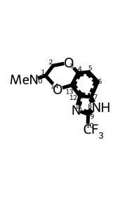 CNC1COc2ccc3[nH]c(C(F)(F)F)nc3c2O1